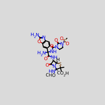 CC1(C)S[C@@H]2[C@@H](NC(=O)C(N)(NC(=O)N3CCN(S(C)(=O)=O)C3=O)c3ccc4nc(N)oc4c3)C(=O)N2[C@@]1(NC=O)C(=O)O